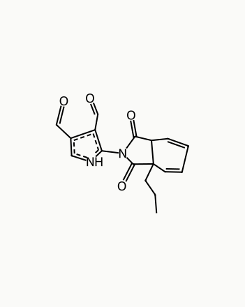 CCCC12C=CC=CC1C(=O)N(c1[nH]cc(C=O)c1C=O)C2=O